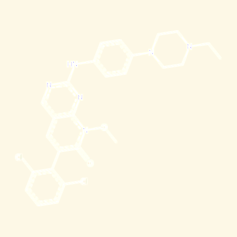 CCN1CCN(c2ccc(Nc3ncc4cc(-c5c(Cl)cccc5Cl)c(=O)n(OC)c4n3)cc2)CC1